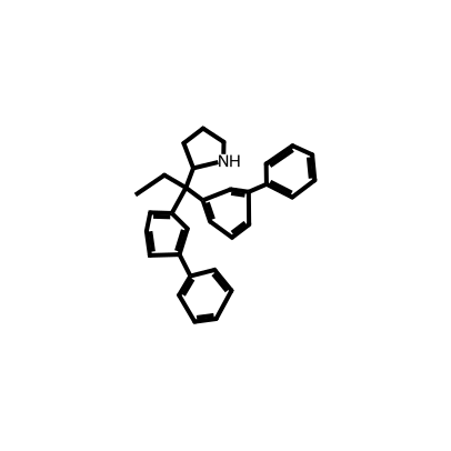 CCC(c1cccc(-c2ccccc2)c1)(c1cccc(-c2ccccc2)c1)C1CCCN1